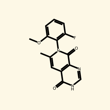 COc1cccc(F)c1-n1c(C)cc2c(=O)[nH]cnc2c1=O